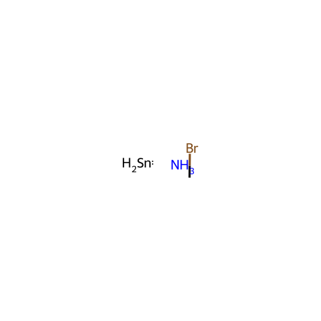 CBr.N.[SnH2]